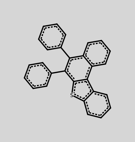 c1ccc(-c2c(-c3ccccc3)c3sc4ccccc4c3c3ccccc23)cc1